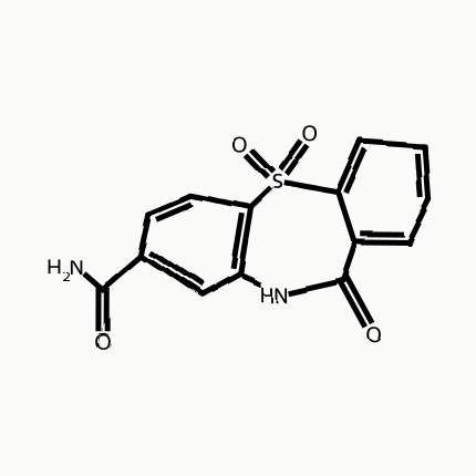 NC(=O)c1ccc2c(c1)NC(=O)c1ccccc1S2(=O)=O